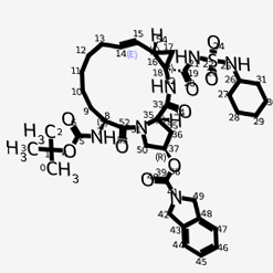 CC(C)(C)OC(=O)N[C@H]1CCCCC/C=C/[C@@H]2C[C@@]2(C(=O)NS(=O)(=O)NC2CCCCC2)NC(=O)[C@@H]2C[C@@H](OC(=O)N3Cc4ccccc4C3)CN2C1=O